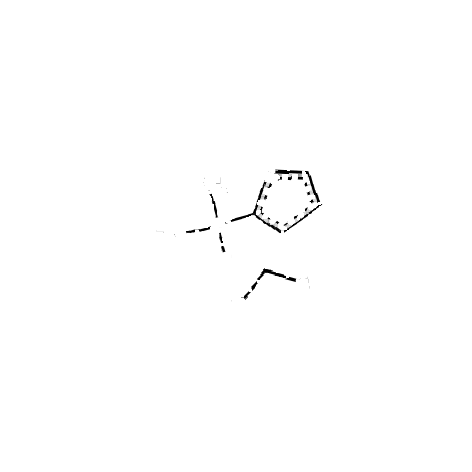 C[Si](C)(C)c1cccs1.ClCCl